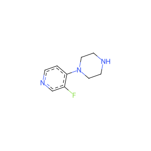 Fc1cnccc1N1CCNCC1